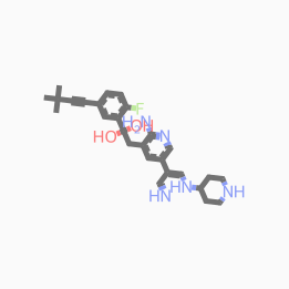 CC(C)(C)C#Cc1ccc(F)c(C(O)(O)Cc2cc(/C(C=N)=C/NC3CCNCC3)cnc2N)c1